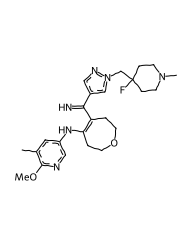 COc1ncc(NC2=C(C(=N)c3cnn(CC4(F)CCN(C)CC4)c3)CCOCC2)cc1C